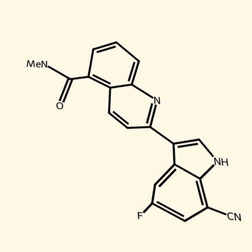 CNC(=O)c1cccc2nc(-c3c[nH]c4c(C#N)cc(F)cc34)ccc12